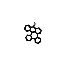 Brc1c2ccccc2c2c3c(cccc13)-c1ccccc1-c1ccccc1-2